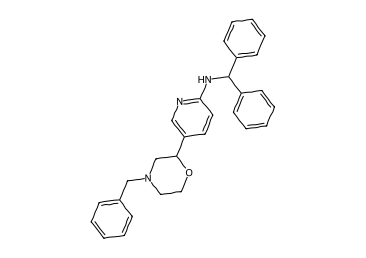 c1ccc(CN2CCOC(c3ccc(NC(c4ccccc4)c4ccccc4)nc3)C2)cc1